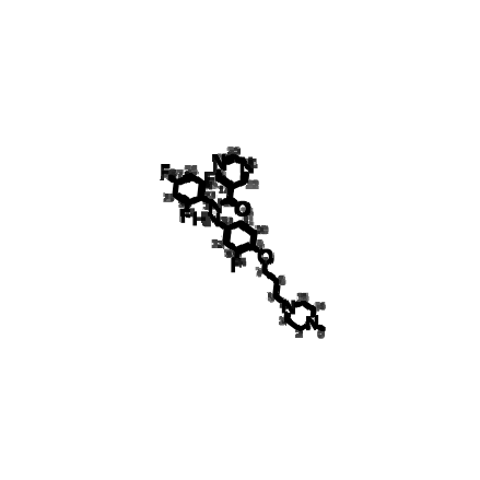 CN1CCN(CCCOc2ccc(NN(C(=O)c3cncnc3)c3c(F)cc(F)cc3F)cc2F)CC1